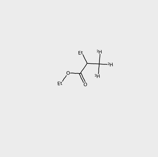 [2H]C([2H])([2H])C(CC)C(=O)OCC